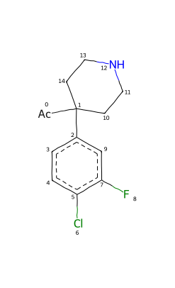 CC(=O)C1(c2ccc(Cl)c(F)c2)CCNCC1